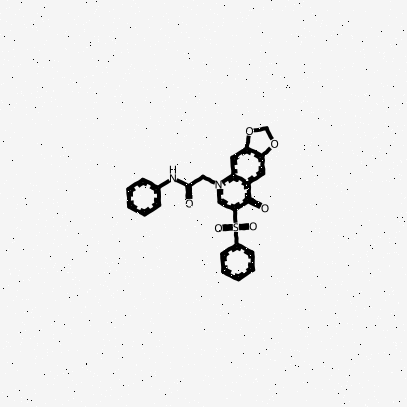 O=C(Cn1cc(S(=O)(=O)c2ccccc2)c(=O)c2cc3c(cc21)OCO3)Nc1ccccc1